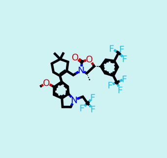 COc1cc2c(cc1C1=C(CN3C(=O)O[C@H](c4cc(C(F)(F)F)cc(C(F)(F)F)c4)[C@@H]3C)CC(C)(C)CC1)N(CC(F)(F)F)CC2